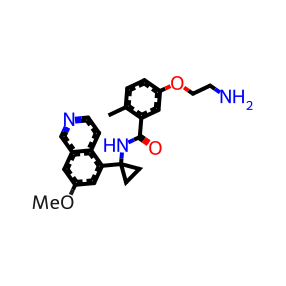 COc1cc(C2(NC(=O)c3cc(OCCN)ccc3C)CC2)c2ccncc2c1